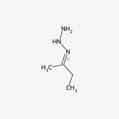 CC/C(C)=N/NN